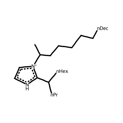 CCCCCCCCCCCCCCCC(C)[n+]1cc[nH]c1C(CCC)CCCCCC